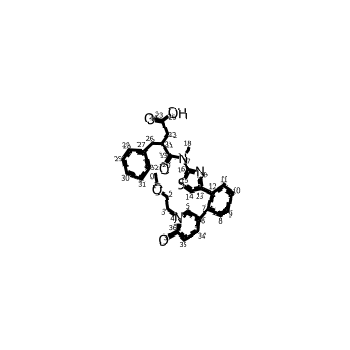 COCCn1cc(-c2ccccc2-c2csc(N(C)C(=O)C(CC(=O)O)Cc3ccccc3)n2)ccc1=O